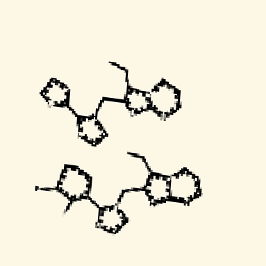 CCc1c(Cn2ccnc2-c2cccc(F)c2F)nc2ncccn12.CCc1c(Cn2ccnc2-c2nccs2)nc2ncccn12